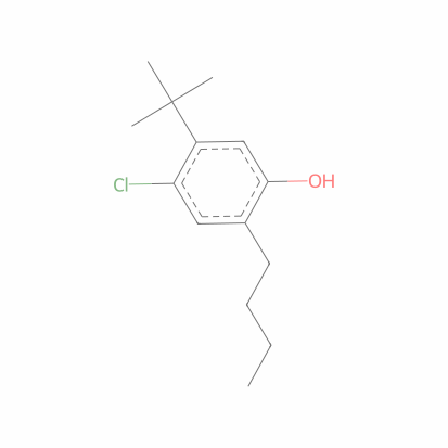 CCCCc1cc(Cl)c(C(C)(C)C)cc1O